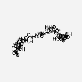 C[C@]12CC[C@H](OCC(=O)NCCCCCC(=O)NC/C=C/c3cn([C@H]4CCC(COP(=O)(O)OP(=O)(O)OP(=O)(O)O)O4)c(=O)[nH]c3=O)C[C@H]1CC[C@@H]1[C@@H]2C[C@@H](O)[C@]2(C)[C@@H](C3=CC(=O)OC3)CCC12O